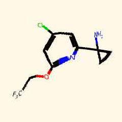 NC1(c2cc(Cl)cc(OCC(F)(F)F)n2)CC1